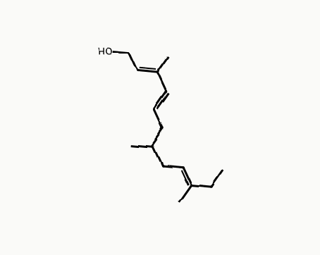 CCC(C)=CCC(C)CC=CC(C)=CCO